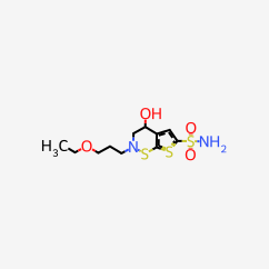 CCOCCCN1CC(O)c2cc(S(N)(=O)=O)sc2S1